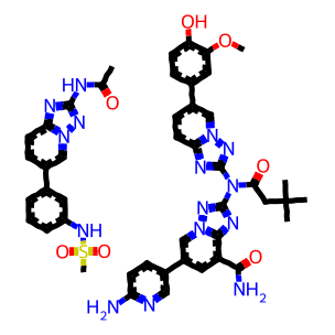 CC(=O)Nc1nc2ccc(-c3cccc(NS(C)(=O)=O)c3)cn2n1.COc1cc(-c2ccc3nc(N(C(=O)CC(C)(C)C)c4nc5c(C(N)=O)cc(-c6ccc(N)nc6)cn5n4)nn3c2)ccc1O